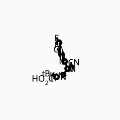 CC(C)(C)C1CC(n2cc(-c3cc(-c4ccc(N5CCN(C(=O)Cc6ccc(F)cn6)CC5)nc4)c4c(C#N)cnn4c3)cn2)CCN1C(=O)O